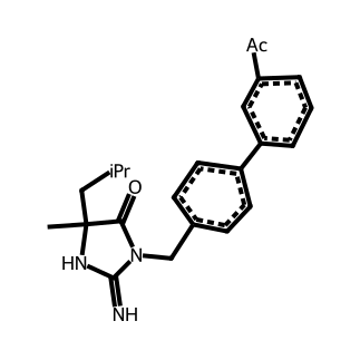 CC(=O)c1cccc(-c2ccc(CN3C(=N)NC(C)(CC(C)C)C3=O)cc2)c1